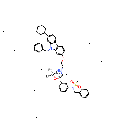 CC[Si](CC)(CC)O[C@@H](CNCCOc1ccc2c3ccc(C4CCCCC4)cc3n(Cc3ccccc3)c2c1)c1cccc(N(Cc2ccccc2)S(C)(=O)=O)c1